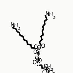 C[N+](C)(C)CCOP(=O)([O-])OC[C@@H](COC(=O)CCCCCCCCCCCN)OC(=O)CCCCCCCCCCCN